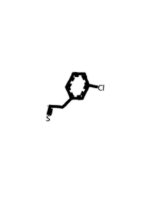 S=[C]Cc1cccc(Cl)c1